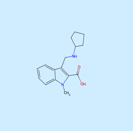 Cn1c(C(=O)O)c(CNC2CCCC2)c2ccccc21